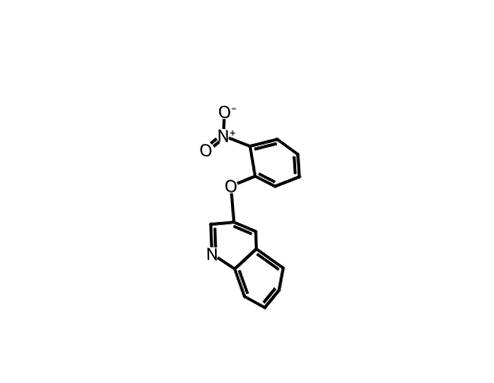 O=[N+]([O-])c1ccccc1Oc1cnc2ccccc2c1